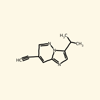 C#Cc1cnn2c(C(C)C)cnc2c1